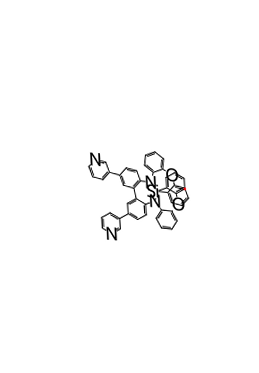 c1cncc(-c2ccc3c(c2)-c2cc(-c4cccnc4)ccc2N2c4ccccc4Oc4ccccc4[Si]24c2ccccc2Oc2ccccc2N34)c1